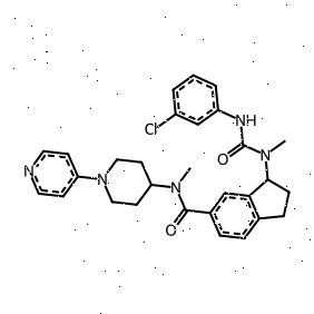 CN(C(=O)c1ccc2c(c1)C(N(C)C(=O)Nc1cccc(Cl)c1)CC2)C1CCN(c2ccncc2)CC1